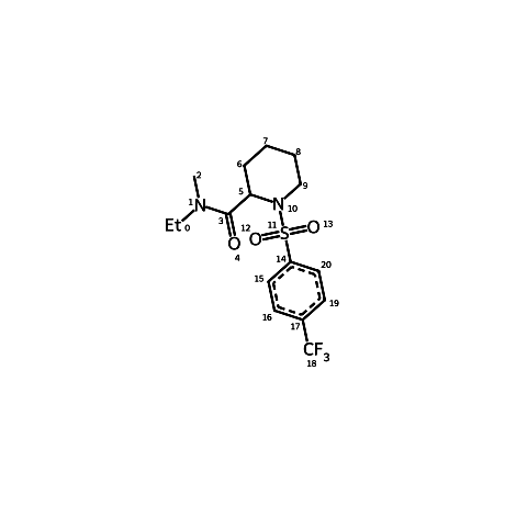 CCN(C)C(=O)C1CCCCN1S(=O)(=O)c1ccc(C(F)(F)F)cc1